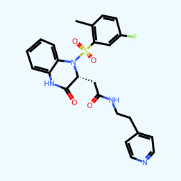 Cc1ccc(F)cc1S(=O)(=O)N1c2ccccc2NC(=O)[C@H]1CC(=O)NCCc1ccncc1